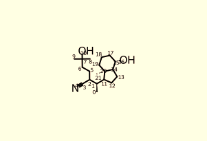 C[C@@H](C(C#N)CCC(C)(C)O)C1CCC2[C@@H](O)CCC[C@]12C